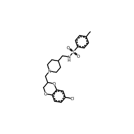 Cc1ccc(S(=O)(=O)NCC2CCN(CC3COc4ccc(Cl)cc4O3)CC2)cc1